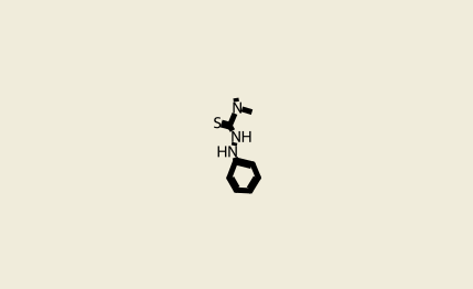 CN(C)C(=S)NNc1ccccc1